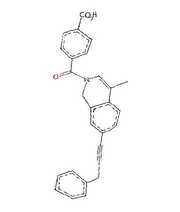 CC1=CN(C(=O)c2ccc(C(=O)O)cc2)Cc2cc(C#CCc3ccccc3)ccc21